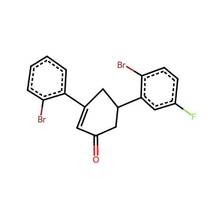 O=C1C=C(c2ccccc2Br)CC(c2cc(F)ccc2Br)C1